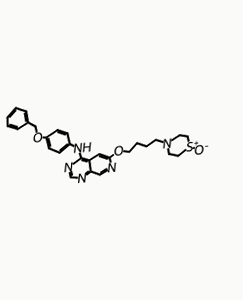 [O-][S+]1CCN(CCCCOc2cc3c(Nc4ccc(OCc5ccccc5)cc4)ncnc3cn2)CC1